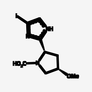 CO[C@H]1C[C@@H](c2nc(I)c[nH]2)N(C(=O)O)C1